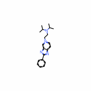 CC(C)N(CCn1ccc2nc(-c3ccccc3)nc-2c1)C(C)C